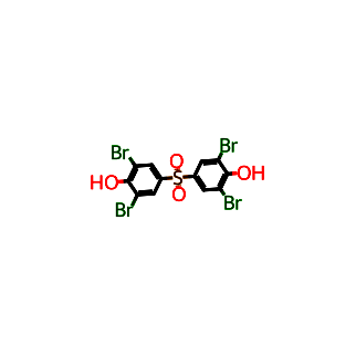 O=S(=O)(c1cc(Br)c(O)c(Br)c1)c1cc(Br)c(O)c(Br)c1